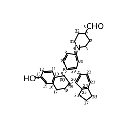 O=CC1CCN(c2ccc([C@H]3c4ccc(O)cc4CC[C@H]3c3cccc4c3CCC4)cc2)CC1